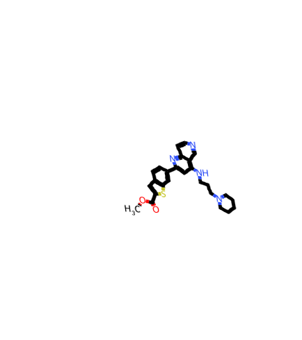 COC(=O)c1cc2ccc(-c3cc(NCCCN4CCCCC4)c4cnccc4n3)cc2s1